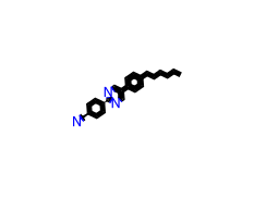 CCCCCCc1ccc(-c2cnc([C@H]3CC[C@H](C#N)CC3)nc2)cc1